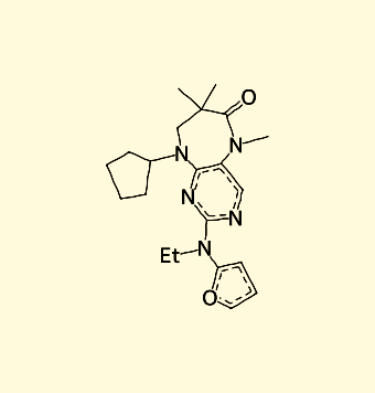 CCN(c1ncc2c(n1)N(C1CCCC1)CC(C)(C)C(=O)N2C)c1ccco1